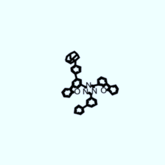 c1ccc(-c2cccc(-c3nc(-c4cccc5c4oc4ccccc45)nc(-c4cc(-c5ccc(C67CC8CC(CC(C8)C6)C7)cc5)cc5c4oc4ccccc45)n3)c2)cc1